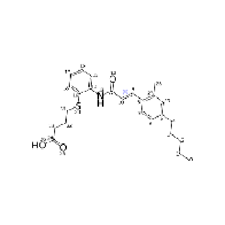 CCCCCc1ccc(/C=C/C(=O)Nc2ccccc2SCCCC(=O)O)c(C)c1